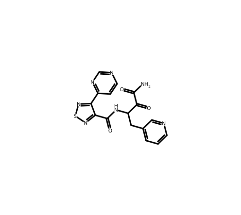 NC(=O)C(=O)C(Cc1cccnc1)NC(=O)c1nsnc1-c1ccncn1